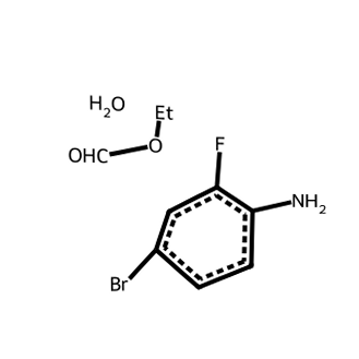 CCOC=O.Nc1ccc(Br)cc1F.O